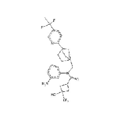 CC(F)(F)c1ccc(C23CCC(CN(C(=O)C4CC(O)(C(F)(F)F)C4)c4cccc(N)c4)(CC2)CC3)nc1